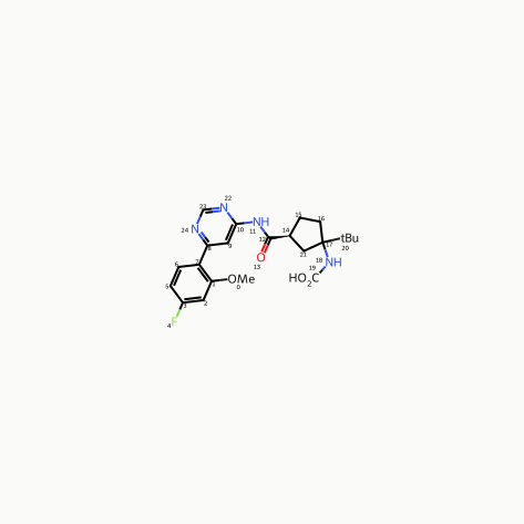 COc1cc(F)ccc1-c1cc(NC(=O)[C@H]2CCC(NC(=O)O)(C(C)(C)C)C2)ncn1